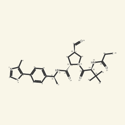 Cc1ncsc1-c1ccc([C@H](C)NC(=O)[C@@H]2C[C@@H](C=O)CN2C(=O)[C@@H](NC(=O)CI)C(C)(C)C)cc1